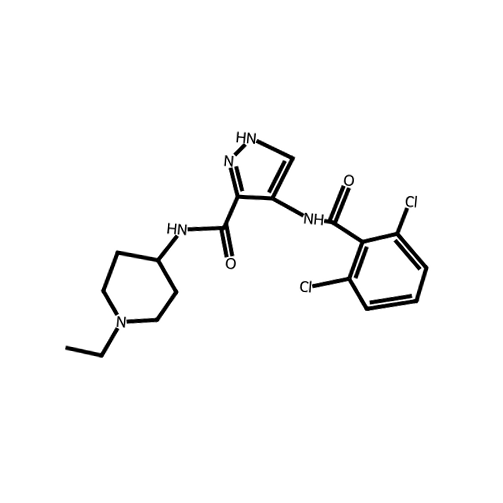 CCN1CCC(NC(=O)c2n[nH]cc2NC(=O)c2c(Cl)cccc2Cl)CC1